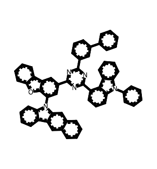 c1ccc(-c2cccc(-c3nc(-c4cc(-n5c6ccccc6c6cc7ccccc7cc65)c5oc6ccccc6c5c4)nc(-c4cccc5c4c4ccccc4n5-c4ccccc4)n3)c2)cc1